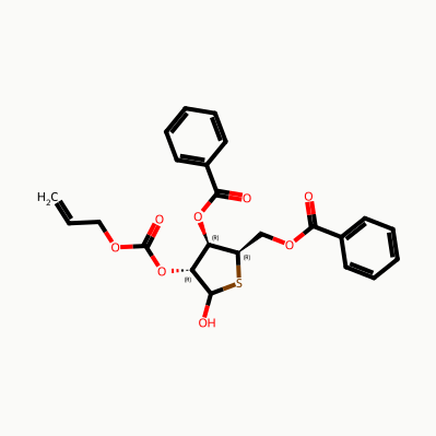 C=CCOC(=O)O[C@H]1C(O)S[C@H](COC(=O)c2ccccc2)[C@@H]1OC(=O)c1ccccc1